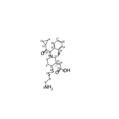 NCCSSC1CCN(C(C(=O)C2CC2)c2ccccc2F)C/C1=C/C(=O)O